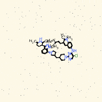 C=C(CCC1=Cc2cc(Nc3nc(N4CCC(CC5CCN(c6cccc7c(C8CCC(=C)NC8=C)nn(C)c67)C5)CC4)ncc3Cl)ccc2N(C)C1=C)NC